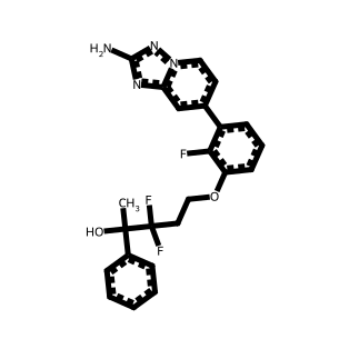 CC(O)(c1ccccc1)C(F)(F)CCOc1cccc(-c2ccn3nc(N)nc3c2)c1F